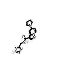 O=C(NCc1nn[nH]n1)c1cnn2ccc(N3CCCC3)cc12